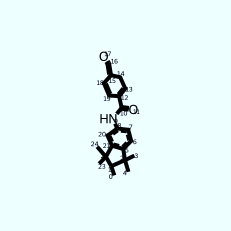 CC1C(C)(C)c2ccc(NC(=O)C3=CCC(=C=O)C=C3)cc2C1(C)C